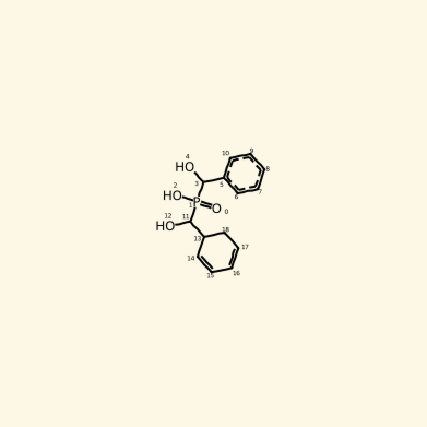 O=P(O)(C(O)c1ccccc1)C(O)C1C=CC=CC1